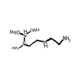 CCCN(CCNCCN)[SiH](OC)OC